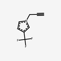 C#CCn1c[c]c(C(F)(F)F)c1